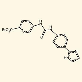 CCOC(=O)c1ccc(NC(=O)Nc2ccc(-c3ncc[nH]3)cc2)cc1